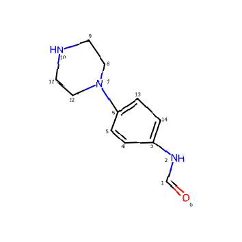 O=CNc1ccc(N2CCNCC2)cc1